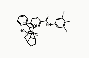 O=C(Nc1cc(F)c(F)c(F)c1)c1ccc(Cl)c(S(=O)(=O)[C@H]2C3CCC2C[C@](O)(C(O)c2ccccc2)C3)c1